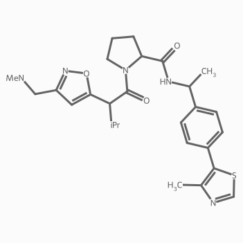 CNCc1cc(C(C(=O)N2CCCC2C(=O)NC(C)c2ccc(-c3scnc3C)cc2)C(C)C)on1